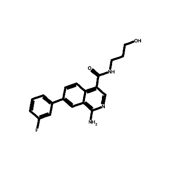 Nc1ncc(C(=O)NCCCO)c2ccc(-c3cccc(F)c3)cc12